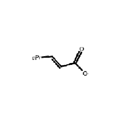 CCCC=CC([O])=O